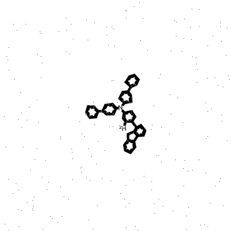 [2H]c1cc(N(c2ccc(-c3ccccc3)cc2)c2ccc(-c3ccccc3)cc2)ccc1-c1cccc2c1Cc1ccccc1-2